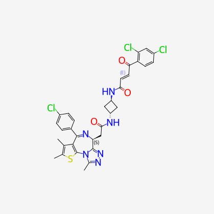 Cc1sc2c(c1C)C(c1ccc(Cl)cc1)=N[C@@H](CC(=O)N[C@H]1C[C@H](NC(=O)/C=C/C(=O)c3ccc(Cl)cc3Cl)C1)c1nnc(C)n1-2